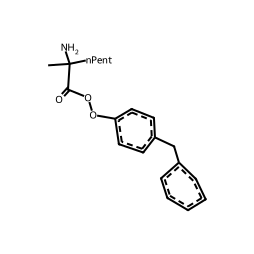 CCCCCC(C)(N)C(=O)OOc1ccc(Cc2ccccc2)cc1